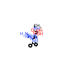 CCNC(=O)[C@H]1O[C@@H](n2cnc3c(NCC(c4ccccc4)c4ccccc4)nc(-n4cnc(N)n4)nc32)[C@H](O)[C@@H]1O